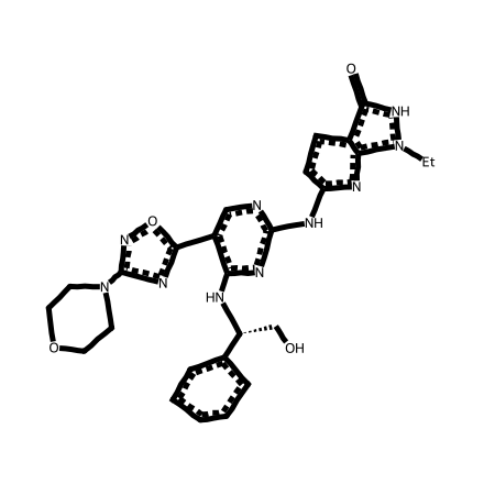 CCn1[nH]c(=O)c2ccc(Nc3ncc(-c4nc(N5CCOCC5)no4)c(N[C@H](CO)c4ccccc4)n3)nc21